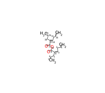 C=CCC=C(CC=C)C(=O)OC(=O)C(=CCC=C)CC=C